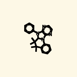 CC1(C)c2ccccc2N2c3nccnc3N(c3ccccc3)C2C1(C)C